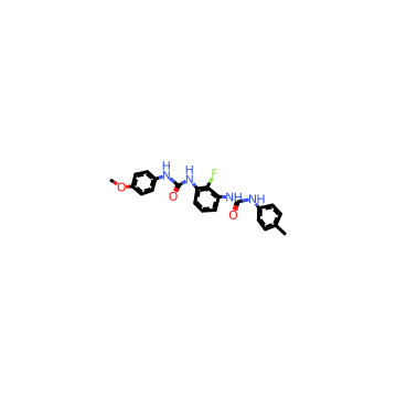 COc1ccc(NC(=O)Nc2cccc(NC(=O)Nc3ccc(C)cc3)c2F)cc1